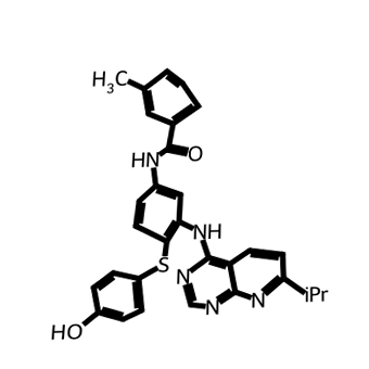 Cc1cccc(C(=O)Nc2ccc(Sc3ccc(O)cc3)c(Nc3ncnc4nc(C(C)C)ccc34)c2)c1